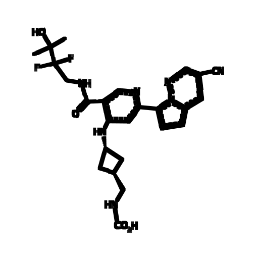 CC(C)(O)C(F)(F)CNC(=O)c1cnc(-c2ccc3cc(C#N)cnn23)cc1N[C@H]1C[C@H](CNC(=O)O)C1